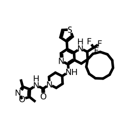 Cc1noc(C)c1NC(=O)N1CCC(Nc2ncc(-c3ccsc3)c3c2CC2(CCCCCCCCCC2)C(C(F)(F)F)N3)CC1